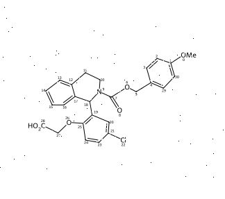 COc1ccc(COC(=O)N2CCc3ccccc3C2c2cc(Cl)ccc2OCC(=O)O)cc1